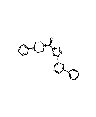 O=C(N1CCN(c2ccccc2)CC1)n1cnc(-c2cccc(-c3ccccc3)c2)c1